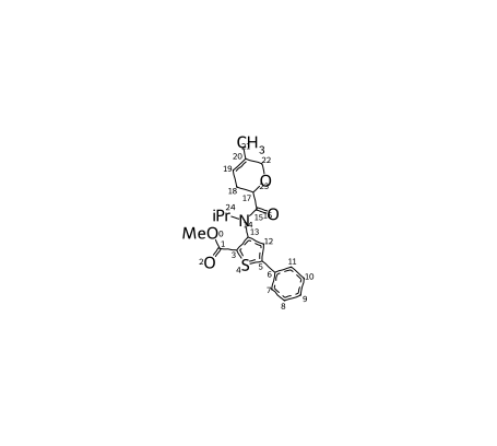 COC(=O)c1sc(-c2ccccc2)cc1N(C(=O)C1CC=C(C)CO1)C(C)C